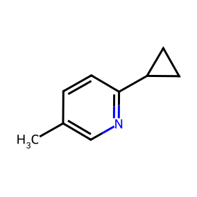 Cc1ccc(C2CC2)nc1